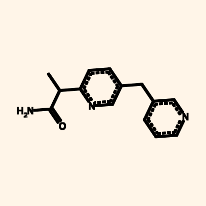 CC(C(N)=O)c1ccc(Cc2cccnc2)cn1